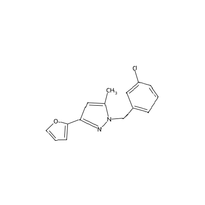 Cc1cc(-c2ccco2)nn1Cc1cccc(Cl)c1